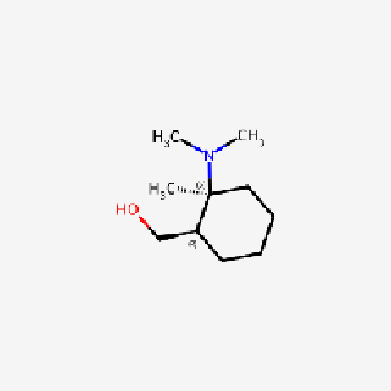 CN(C)[C@@]1(C)CCCC[C@H]1CO